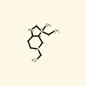 CCN1CCC2NC[N+](C)(CC)C2C1